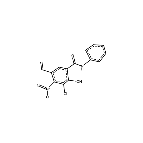 C=Cc1cc(C(=O)Nc2ccccc2)c(O)c(Cl)c1[N+](=O)[O-]